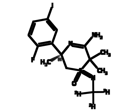 [2H]C([2H])([2H])N=S1(=O)C[C@@](C)(c2cc(I)ccc2F)N=C(N)C1(C)C